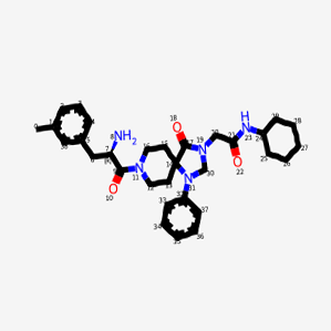 Cc1cccc(C[C@@H](N)C(=O)N2CCC3(CC2)C(=O)N(CC(=O)NC2CCCCC2)CN3c2ccccc2)c1